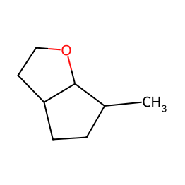 CC1CCC2CCOC12